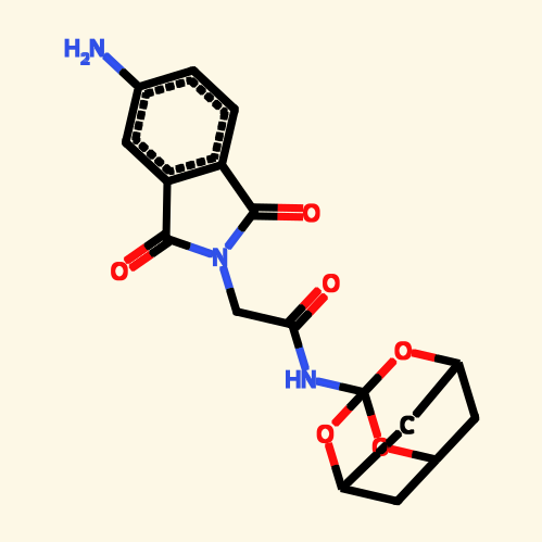 Nc1ccc2c(c1)C(=O)N(CC(=O)NC13OC4CC(CC(C4)O1)O3)C2=O